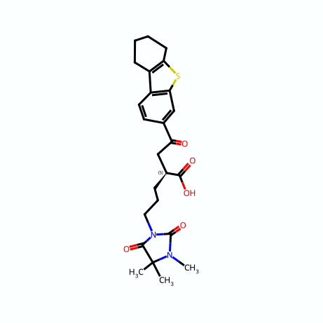 CN1C(=O)N(CCC[C@@H](CC(=O)c2ccc3c4c(sc3c2)CCCC4)C(=O)O)C(=O)C1(C)C